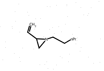 C=CC1CN1CCCCC